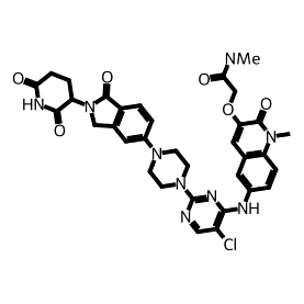 CNC(=O)COc1cc2cc(Nc3nc(N4CCN(c5ccc6c(c5)CN(C5CCC(=O)NC5=O)C6=O)CC4)ncc3Cl)ccc2n(C)c1=O